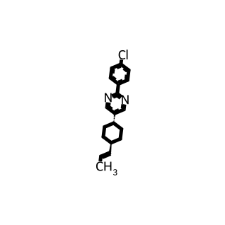 CC=C[C@H]1CC[C@H](c2cnc(-c3ccc(Cl)cc3)nc2)CC1